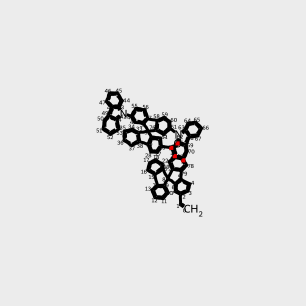 C=Cc1ccc2c(c1)C1(c3ccccc3-c3ccccc31)c1cc(C(=O)c3ccc4c(c3)C3(c5ccccc5-4)c4cc(-n5c6ccccc6c6ccccc65)ccc4-c4ccc(-n5c6ccccc6c6ccccc65)cc43)ccc1-2